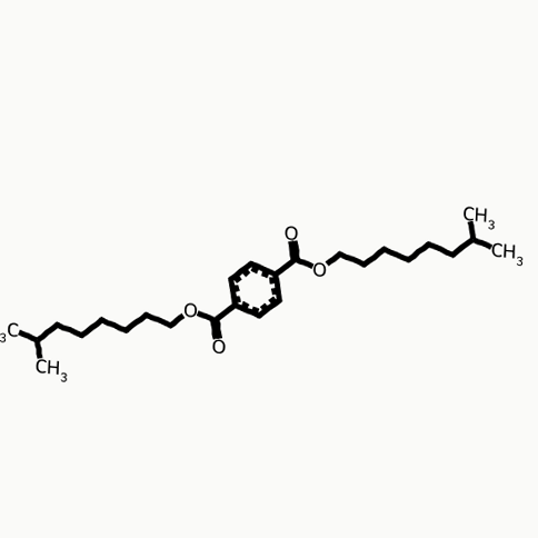 CC(C)CCCCCCOC(=O)c1ccc(C(=O)OCCCCCCC(C)C)cc1